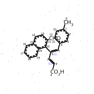 Cc1ccc(/C=C(/C=C/C(=O)O)c2c(C=O)ccc3ccccc23)cc1